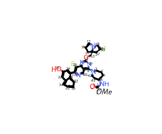 COC(=O)NC1CCCN(c2nc(OC[C@@]34CCCN3CC(F)C4)nc3c(F)c(-c4cc(O)cc5ccccc45)ncc23)CC1